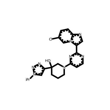 CC(C)n1cc(C2(O)CCCN(c3ccnc(-c4cnc5ccc(Cl)cn45)n3)C2)nn1